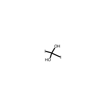 OC(O)(I)I